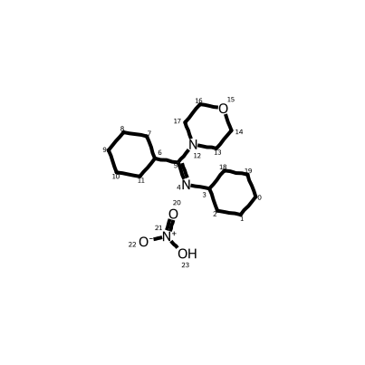 C1CCC(N=C(C2CCCCC2)N2CCOCC2)CC1.O=[N+]([O-])O